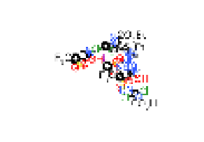 CCOC(=O)C1=NN(c2ccc(Cl)cc2Cl)C(C)(C(=O)OCC)C1.COc1nc(C)nc(NC(=O)NS(=O)(=O)c2cc(I)ccc2C(=O)O)n1.Cc1nn(C)c(O)c1C(=O)c1ccc(C(F)(F)F)cc1S(C)(=O)=O.Cc1nn(C)c(O)c1C(=O)c1ccc(C(F)(F)F)cc1S(C)(=O)=O.Nc1cc(Cl)nc(C(=O)O)c1Cl